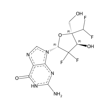 Nc1nc2c(ncn2[C@@H]2O[C@@](CO)(C(F)F)[C@@H](O)C2(F)F)c(=O)[nH]1